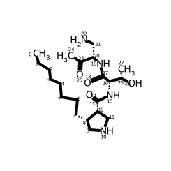 CCCCCCCC[C@H]1CNC[C@H]1C(=O)N[C@H](C(=O)N[C@@H](CN)C(C)=O)[C@H](C)O